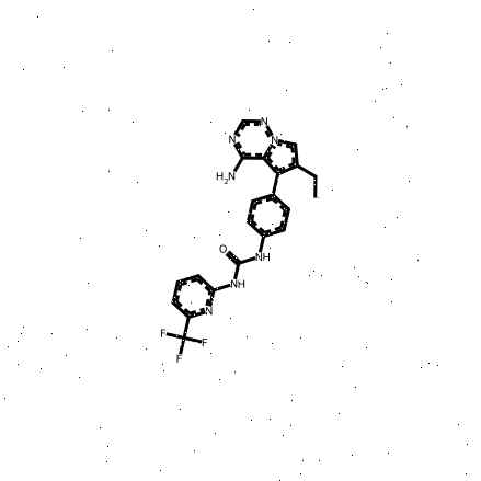 [CH2]Cc1cn2ncnc(N)c2c1-c1ccc(NC(=O)Nc2cccc(C(F)(F)F)n2)cc1